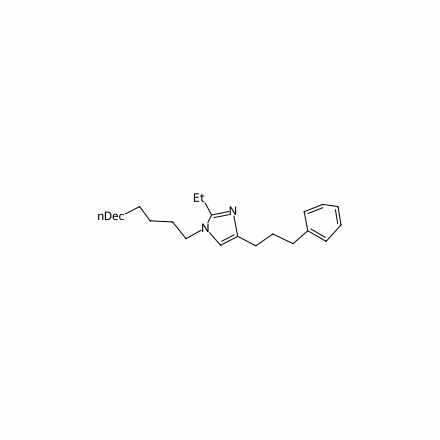 CCCCCCCCCCCCCCn1cc(CCCc2ccccc2)nc1CC